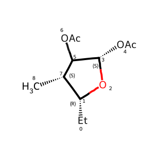 CC[C@H]1O[C@@H](OC(C)=O)C(OC(C)=O)[C@H]1C